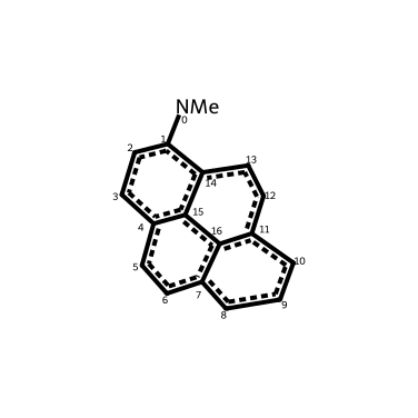 CNc1ccc2ccc3cccc4ccc1c2c34